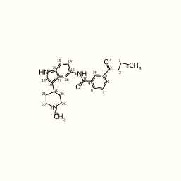 CCCC(=O)c1cccc(C(=O)Nc2ccc3[nH]cc(C4CCN(C)CC4)c3c2)c1